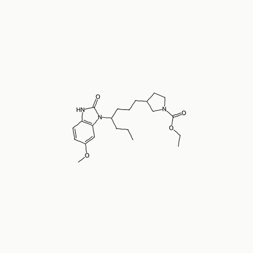 CCCC(CCCC1CCN(C(=O)OCC)C1)n1c(=O)[nH]c2ccc(OC)cc21